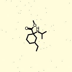 CCC1CCCC(NC(C)C)(C(=O)OC)C1